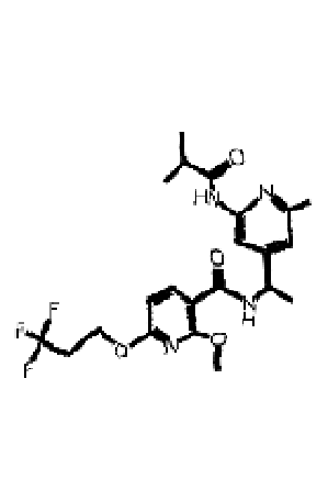 COc1nc(OCCC(F)(F)F)ccc1C(=O)NC(C)c1cc(C)nc(NC(=O)C(C)C)c1